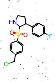 O=S(=O)(c1ccc(CCl)cc1)C1NCCC1c1ccc(F)cc1